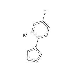 [K+].[O-]c1ccc(-n2ccnc2)cc1